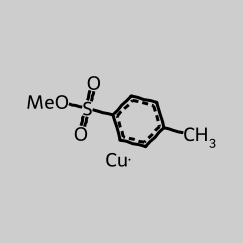 COS(=O)(=O)c1ccc(C)cc1.[Cu]